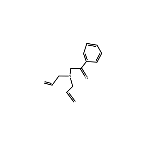 C=CCN(CC=C)CC(=O)c1ccccc1